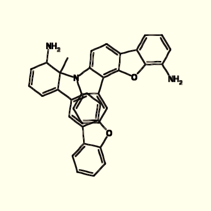 CC1(n2c3ccccc3c3c4oc5c(N)cccc5c4ccc32)C(c2ccc3oc4ccccc4c3c2)=CC=CC1N